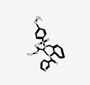 COC(=O)C1CN(C(=O)c2cccnc2)c2ccccc2CN1S(=O)(=O)c1ccc(OC)cc1